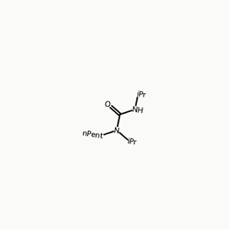 CCCCCN(C(=O)NC(C)C)C(C)C